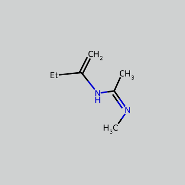 C=C(CC)N/C(C)=N\C